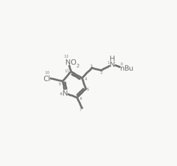 CCCCNCCc1cc(C)nc(Cl)c1[N+](=O)[O-]